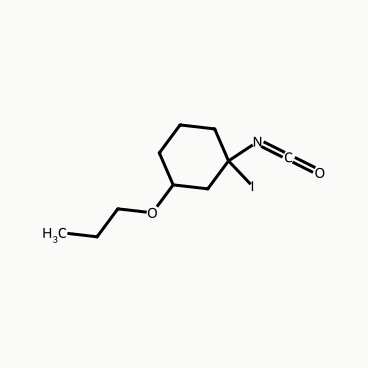 CCCOC1CCCC(I)(N=C=O)C1